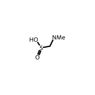 CNCS(=O)O